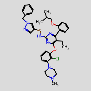 CCc1c(Oc2cccc(N3CCN(C)CC3)c2Cl)nc(NSc2cnn(Cc3ccccc3)c2)nc1-c1ccccc1OCC(C)C